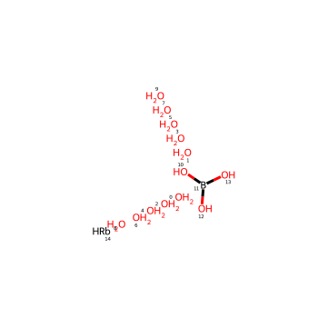 O.O.O.O.O.O.O.O.O.O.OB(O)O.[RbH]